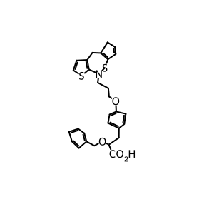 O=C(O)C(Cc1ccc(OCCCN2SC3=C(CC=C3)Cc3ccsc32)cc1)OCc1ccccc1